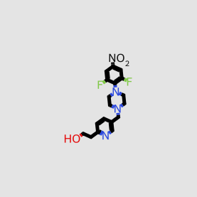 O=[N+]([O-])c1cc(F)c(N2CCN(Cc3ccc(CCO)nc3)CC2)c(F)c1